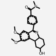 COc1cc2c(cc1OC)C1CC(O)CCC1N=C2c1ccc(C(=O)N(C)C)cc1